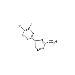 Cc1cc(-c2cncc(C(=O)O)n2)ccc1Br